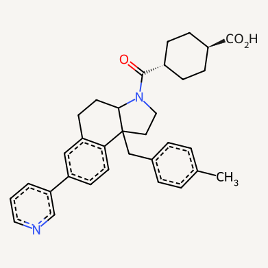 Cc1ccc(CC23CCN(C(=O)[C@H]4CC[C@H](C(=O)O)CC4)C2CCc2cc(-c4cccnc4)ccc23)cc1